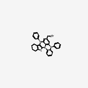 CC(C)Cc1cc2c3c(c1)N(c1ccccc1)c1c(sc4c1CCCC4)B3c1ccccc1N2c1ccccc1